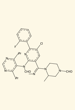 C/N=C(\c1cc(Cl)c(-c2ccccc2F)nc1N(C=O)c1c(C(C)C)ncnc1C(C)C)N1CCN(C=O)CC1C